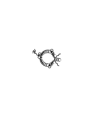 C=C=C=C=C1C(CCCCC)CCOC(=O)CCCCCCCC(OC(=O)CCCN(C)CC)CCCCCCCC(=O)OCCC1CCCCC